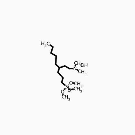 CCCCCC(CCC[Si](OC)(OC)OC)CCN(C)C.Cl